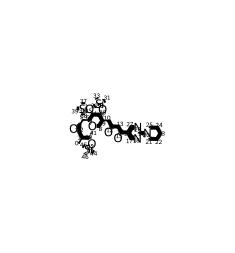 C[C@@H]([C@@H]1O[C@H]1C[C@@H]1OC[C@H](CC(=O)CC(=O)c2cnc(N3CCCCC3)nc2)[C@@H](O[Si](C)(C)C)[C@@H]1O[Si](C)(C)C)[C@H](C)O[Si](C)(C)C